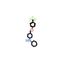 FC(F)(F)c1ccc(OCC2CCC(NC3CCCCCC3)CC2)cc1